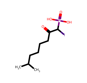 CC(C)CCCCC(=O)C(I)P(=O)(O)O